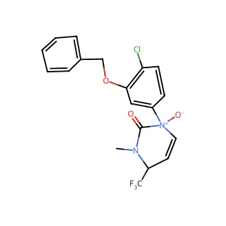 CN1C(=O)[N+]([O-])(c2ccc(Cl)c(OCc3ccccc3)c2)C=CC1C(F)(F)F